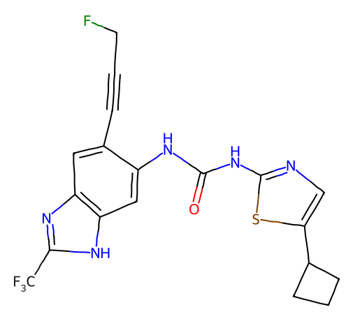 O=C(Nc1ncc(C2CCC2)s1)Nc1cc2[nH]c(C(F)(F)F)nc2cc1C#CCF